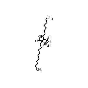 CCCCCCCCCCC(C(=O)O)(C(CCCCCCCC)C(=O)O)S(=O)(=O)O